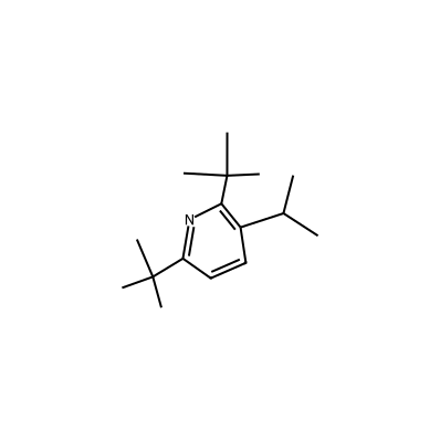 CC(C)c1ccc(C(C)(C)C)nc1C(C)(C)C